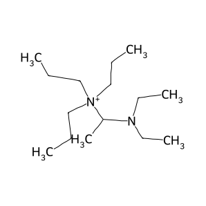 CCC[N+](CCC)(CCC)C(C)N(CC)CC